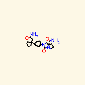 NC(=O)CC1(c2ccc(N3C[C@@]4(C(N)=O)[CH]CCN4C3=O)cc2)CCCC1